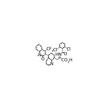 Cn1c(=O)c(-c2ccc(C[C@H](NC(=O)c3c(Cl)cccc3Cl)C(=O)O)c3ncccc23)c(C(F)(F)F)c2ccccc21